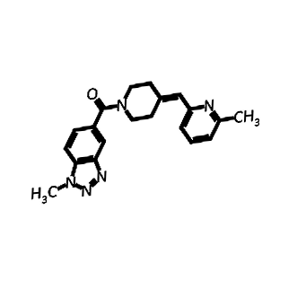 Cc1cccc(C=C2CCN(C(=O)c3ccc4c(c3)nnn4C)CC2)n1